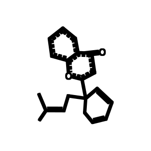 CC(C)=CCC1(c2cc(=O)c3ccccc3o2)C=CC=CC1